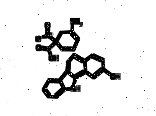 NC1=CC=CC(C(=O)O)([N+](=O)[O-])C1.Oc1ccc2ccc3c4ccccc4[nH]c3c2c1